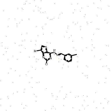 Cc1cccc(/C=N/Nc2nc(Cl)nc3c(Br)csc23)c1